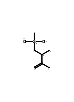 C=C(C)C(C)C[Si](C)(Cl)Cl